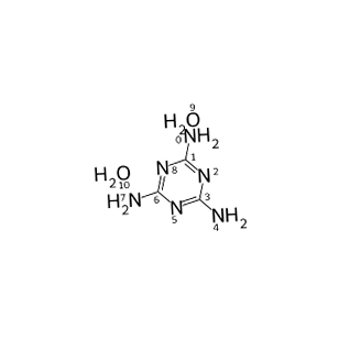 Nc1nc(N)nc(N)n1.O.O